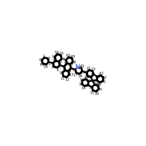 c1ccc(-c2ccc(-c3c4ccccc4c(-c4ccc(-c5ccc6c(c5)C5(c7ccccc7-c7ccccc75)c5ccccc5-6)cn4)c4ccccc34)c3ccccc23)cc1